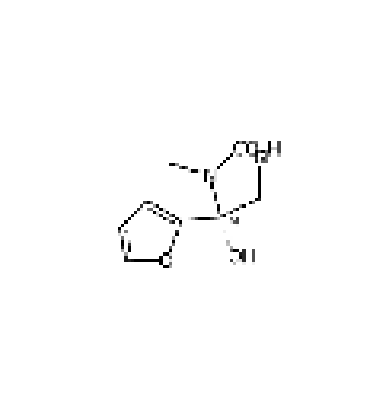 CN(C(=O)O)[C@@](O)(CCl)c1ccco1